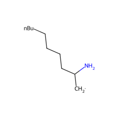 [CH2]C(N)CCCCCCCC